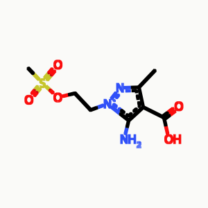 Cc1nn(CCOS(C)(=O)=O)c(N)c1C(=O)O